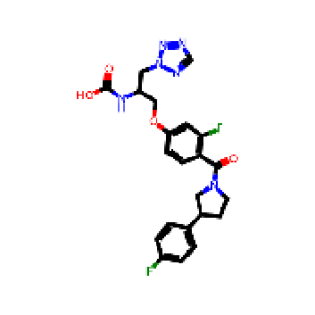 O=C(O)NC(COc1ccc(C(=O)N2CCC(c3ccc(F)cc3)C2)c(F)c1)Cn1ncnn1